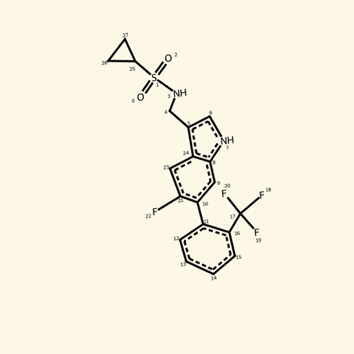 O=S(=O)(NCc1c[nH]c2cc(-c3ccccc3C(F)(F)F)c(F)cc12)C1CC1